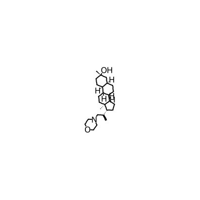 C=C(CN1CCOCC1)[C@H]1CC[C@H]2[C@@H]3CC[C@@H]4C[C@@](C)(O)CC[C@@H]4[C@H]3CC[C@]12C